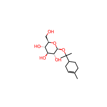 CC1=CCC(C(C)(C)O[C@@H]2O[C@H](CO)[C@@H](O)[C@H](O)[C@H]2O)CC1